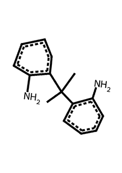 CC(C)(c1ccccc1N)c1ccccc1N